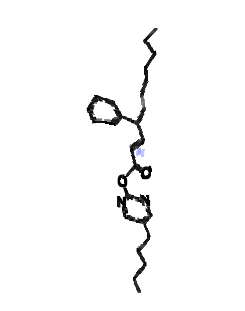 CCCCCCCC(/C=C/C(=O)Oc1ncc(CCCCC)cn1)c1ccccc1